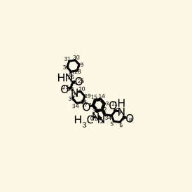 Cn1nc(C2CCC(=O)NC2=O)c2cccc(OC3CCN(C(=O)C(=O)NC4CCCCC4)CC3)c21